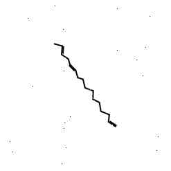 C=CCCCCCCCCC=CCC=CC